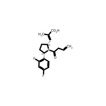 C=CCC(=O)N1[C@@H](C=C(C)C(=O)O)CC[C@H]1c1ccc(F)cc1F